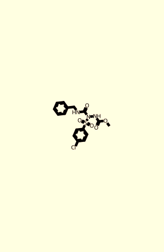 COC(=O)NN(C(=O)NCc1ccccc1)S(=O)(=O)c1ccc(Cl)cc1